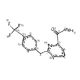 NC(=O)c1ccnc(Cc2ccc(C(F)(F)F)cc2)n1